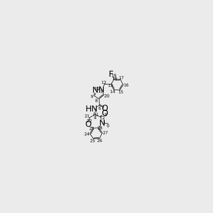 CN1C(=O)[C@@H](NC(=O)c2cnn(Cc3ccccc3F)c2)COc2ccccc21